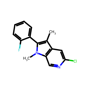 Cc1c(-c2ccccc2F)n(C)c2cnc(Cl)cc12